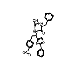 O=C(O)N[C@@H](Cc1ccccc1)C(=O)NC(Cc1ccc([N+](=O)[O-])cc1)c1csc(-c2ccccc2)n1